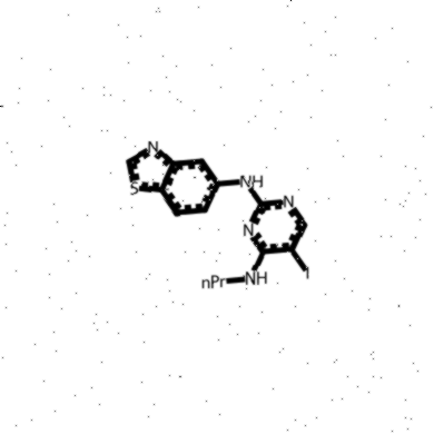 CCCNc1nc(Nc2ccc3scnc3c2)ncc1I